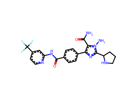 NC(=O)c1c(-c2ccc(C(=O)Nc3cc(C(F)(F)F)ccn3)cc2)nc(C2CCCN2)n1N